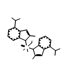 CC1=Cc2c(C(C)C)cccc2[CH]1[Zr]([CH3])([CH3])(=[SiH2])([CH2]Cl)[CH]1C(C)=Cc2c(C(C)C)cccc21